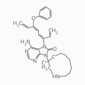 C=C/C(=C\C=C(/C=C)n1c(=O)n(C2(C)CCCCCCCNCC2)c2ncnc(N)c21)Oc1ccccc1